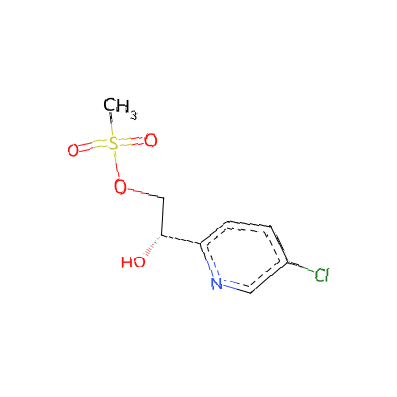 CS(=O)(=O)OC[C@@H](O)c1ccc(Cl)cn1